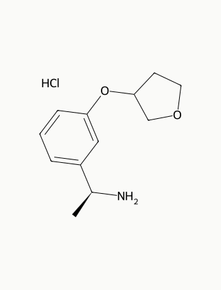 C[C@H](N)c1cccc(OC2CCOC2)c1.Cl